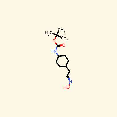 CC(C)(C)OC(=O)NC1CCC(C/C=N/O)CC1